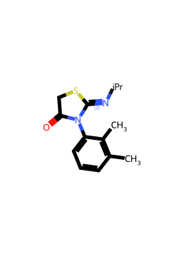 Cc1cccc(N2C(=O)CS/C2=N\C(C)C)c1C